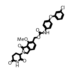 COc1c(COC(=O)Nc2ccc(Oc3cccc(Cl)c3)cc2)ccc2c1C(=O)N(C1CCC(=O)NC1=O)C2